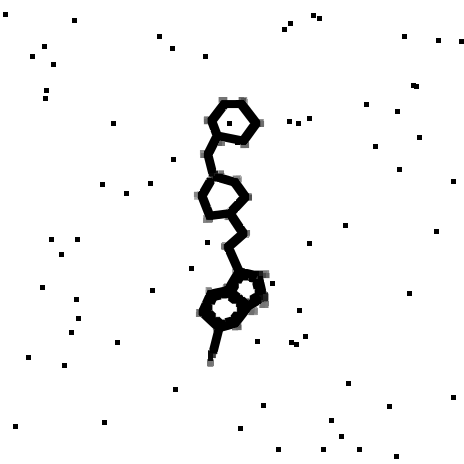 Fc1ccc2c(CCC3CCN(CC4CCCCC4)CC3)noc2c1